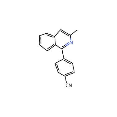 Cc1cc2ccccc2c(-c2ccc(C#N)cc2)n1